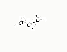 C#Cc1nc(C(F)(F)F)cc2nc(-c3nc(NC(=O)N(C=N)c4ccc(Cl)cc4)ccc3[S+]([O-])CC)n(C)c12